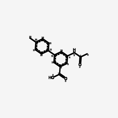 CC(=O)Nc1cc(C(=O)O)cc(-c2ccc(C)cc2)c1